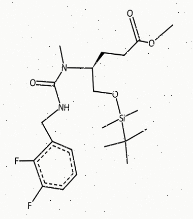 COC(=O)CC[C@@H](CO[Si](C)(C)C(C)(C)C)N(C)C(=O)NCc1cccc(F)c1F